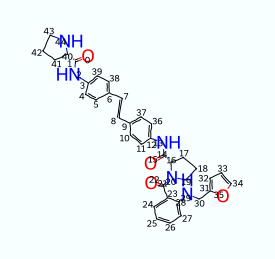 O=C(Nc1ccc(/C=C/c2ccc(NC(=O)[C@@H]3CCCN3C(=O)c3ccccc3NCc3ccco3)cc2)cc1)[C@@H]1CCCN1